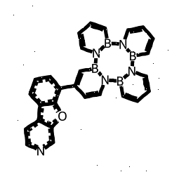 C1=CB2N(C=C1)B1C=CC=CN1B1C=C(c3cccc4c3oc3cnccc34)C=CN1B1C=CC=CN21